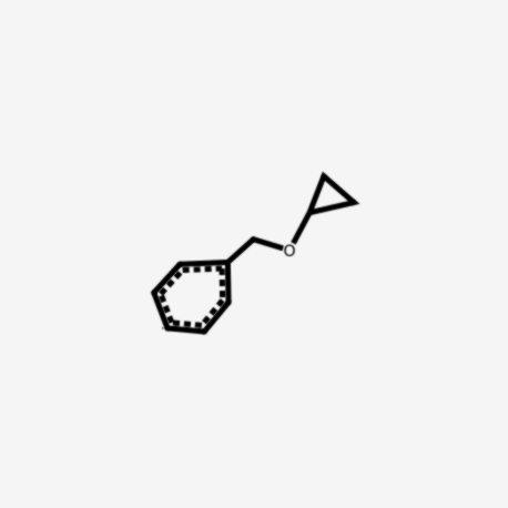 [c]1ccc(COC2CC2)cc1